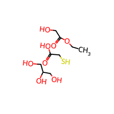 CCOC(=O)CO.O=C(O)CS.OCC(O)CO